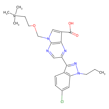 CCCn1nc(-c2cnc3c(n2)c(C(=O)O)cn3COCC[Si](C)(C)C)c2ccc(Cl)cc21